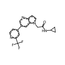 O=C(Cn1ccc2ncc(-c3ccnc(C(F)(F)F)c3)cc21)NC1CC1